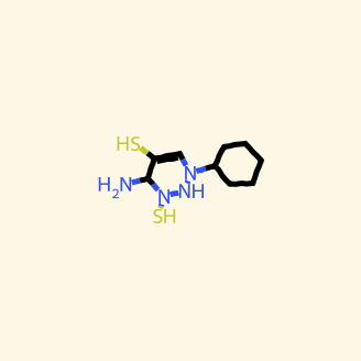 NC1C(S)=CN(C2CCCCC2)NN1S